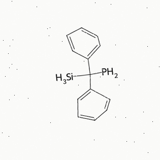 [SiH3]C(P)(c1ccccc1)c1ccccc1